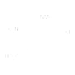 CNc1c(Cl)ccc(C(=O)O)c1[N+](=O)[O-]